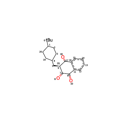 CC(C)(C)C1CCC(C[C@@H]2C(=O)C(=O)c3ccccc3C2=O)CC1